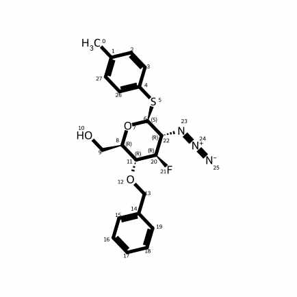 Cc1ccc(S[C@@H]2O[C@H](CO)[C@@H](OCc3ccccc3)[C@H](F)[C@H]2N=[N+]=[N-])cc1